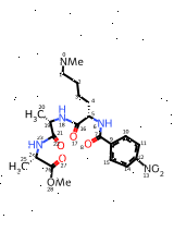 CNCCCC[C@H](NC(=O)c1ccc([N+](=O)[O-])cc1)C(=O)N[C@@H](C)C(=O)N[C@@H](C)C(=O)OC